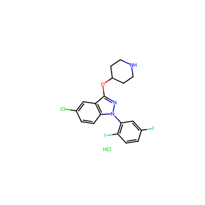 Cl.Fc1ccc(F)c(-n2nc(OC3CCNCC3)c3cc(Cl)ccc32)c1